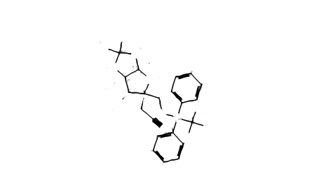 C#CC[C@]1(CO[Si](c2ccccc2)(c2ccccc2)C(C)(C)C)O[C@@H]2OC(C)(C)O[C@@H]2[C@@H]1O